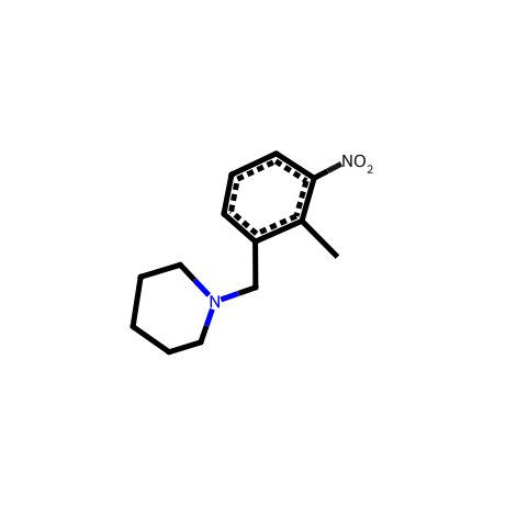 Cc1c(CN2CCCCC2)cccc1[N+](=O)[O-]